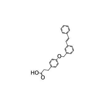 O=C(O)CCc1ccc(OCc2cccc(C=Cc3ccccc3)c2)cc1